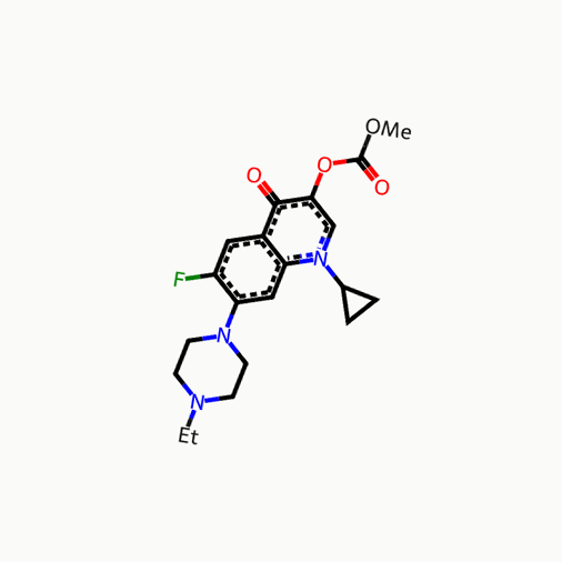 CCN1CCN(c2cc3c(cc2F)c(=O)c(OC(=O)OC)cn3C2CC2)CC1